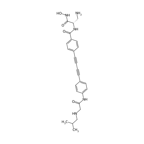 CC(C)CNCC(=O)Nc1ccc(C#CC#Cc2ccc(C(=O)N[C@@H](CN)C(=O)NO)cc2)cc1